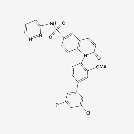 COc1cc(-c2cc(F)cc(Cl)c2)ccc1-n1c(=O)ccc2cc(S(=O)(=O)Nc3cccnn3)ccc21